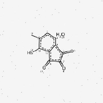 Cc1ccc2c(=O)c(=O)c(=O)c2c1S.O